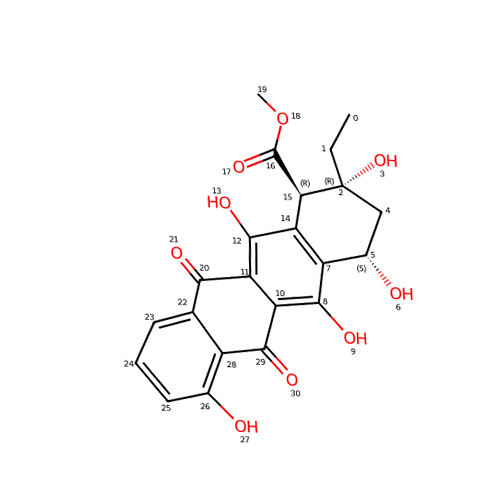 CC[C@@]1(O)C[C@H](O)c2c(O)c3c(c(O)c2[C@H]1C(=O)OC)C(=O)c1cccc(O)c1C3=O